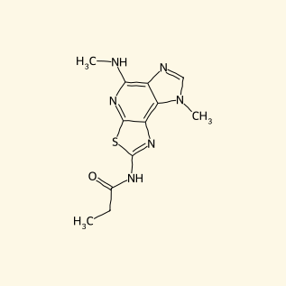 CCC(=O)Nc1nc2c(nc(NC)c3ncn(C)c32)s1